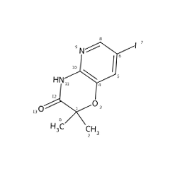 CC1(C)Oc2cc(I)cnc2NC1=O